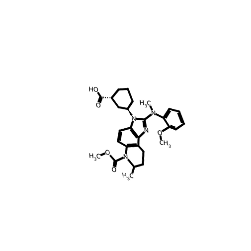 COC(=O)N1c2ccc3c(nc(N(C)c4ccccc4OC)n3[C@@H]3CCC[C@@H](C(=O)O)C3)c2CCC1C